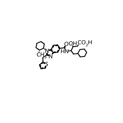 C[C@@H]1CCCC[C@H]1n1c(Cc2cccs2)nc2cc(C(=O)NC(CC3CCCCC3)C(O)CC(=O)O)ccc21